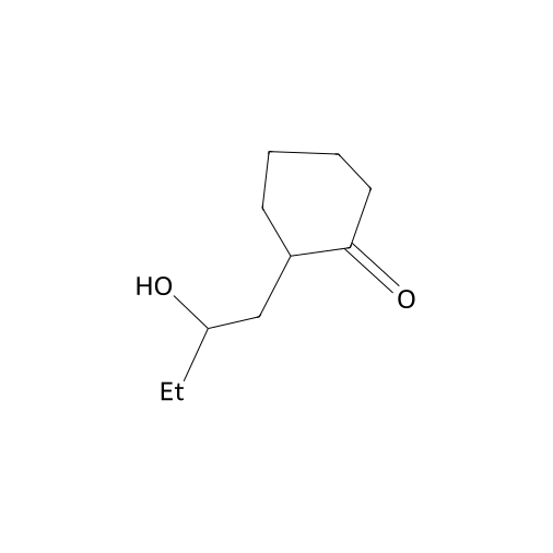 CCC(O)CC1CCCCC1=O